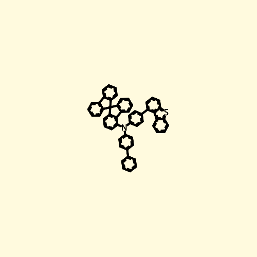 c1ccc(-c2ccc(N(c3ccc(-c4cccc5sc6ccccc6c45)cc3)c3cccc4c3-c3ccccc3C43c4ccccc4-c4ccccc43)cc2)cc1